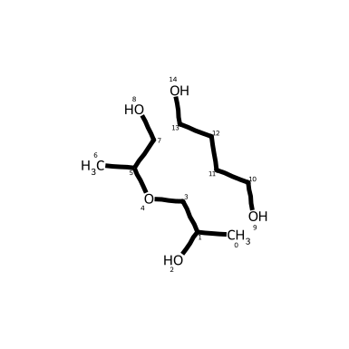 CC(O)COC(C)CO.OCCCCO